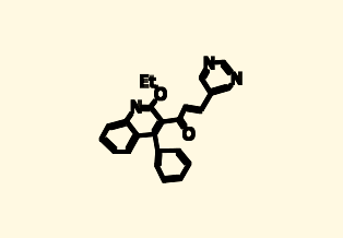 CCOc1nc2ccccc2c(-c2ccccc2)c1C(=O)/C=C/c1cncnc1